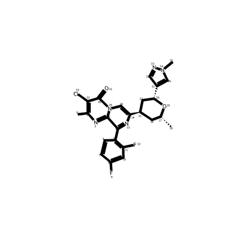 Cc1nc2c(-c3ccc(F)cc3F)nc([C@@H]3C[C@@H](C)O[C@@H](c4cnn(C)c4)C3)cn2c(=O)c1Cl